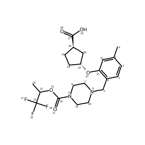 Cc1ccc(CN2CCN(C(=O)OC(C)C(F)(F)F)CC2)c(O[C@@H]2CC[C@@H](C(=O)O)C2)c1